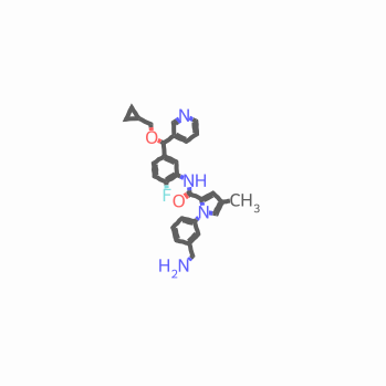 Cc1cc(C(=O)Nc2cc(C(OCC3CC3)c3cccnc3)ccc2F)n(-c2cccc(CN)c2)c1